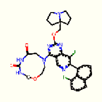 O=C1CN(c2nc(OCC34CCCN3CCC4)nc3c(F)c(-c4cccc5cccc(F)c45)ncc23)CCOCNC(=O)N1